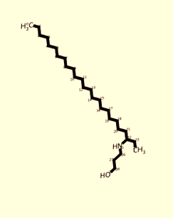 CCCCCCCCCCCCCCCCCCCCCCC(CC)NCCCO